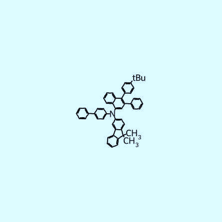 CC(C)(C)c1ccc(-c2c(-c3ccccc3)cc(N(c3ccc(-c4ccccc4)cc3)c3ccc4c(c3)-c3ccccc3C4(C)C)c3ccccc23)cc1